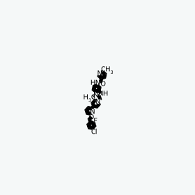 Cc1ccc(C(=O)Nc2ccc3c(c2)NC(CN2CCC(c4cccc(OCc5ccc(Cl)cc5F)n4)CC2)N3C)cn1